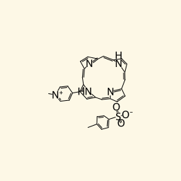 C[n+]1ccc(-c2cc3cc4nc(cc5ccc(cc6nc(cc2[nH]3)C=C6)[nH]5)C=C4)cc1.Cc1ccc(S(=O)(=O)[O-])cc1